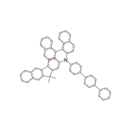 CC1(C)c2cc(N(c3ccc(-c4ccc(-c5ccccc5)cc4)cc3)c3ccc4ccccc4c3-c3cccc4ccccc34)ccc2-c2cc3ccccc3cc21